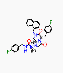 CC(C)N(C(=O)NCc1ccc(F)cc1)N1CC(=O)N2[C@@H](Cc3ccc(F)cc3)C(=O)N(Cc3cccc4ccccc34)C[C@@H]21